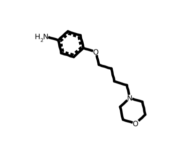 Nc1ccc(OCCCCN2CCOCC2)cc1